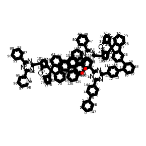 c1ccc(-c2ccc(-c3nc(-c4ccc(-c5ccccc5-c5ccc6c(c5)-c5ccccc5C65c6ccccc6Oc6c(-c7nc(-c8ccccc8)nc(-c8cccc9cc(-c%10cccc%11c%10-c%10ccccc%10C%11%10c%11ccccc%11Oc%11c(-c%12nc(-c%13ccccc%13)nc(-c%13ccccn%13)n%12)cccc%11%10)ccc89)n7)cccc65)cc4)nc(-c4cccc5c4Oc4ccccc4C54c5ccccc5-c5ccccc54)n3)cc2)cc1